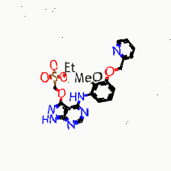 CCOS(=O)(=O)COc1n[nH]c2ncnc(Nc3cccc(OCc4ccccn4)c3OC)c12